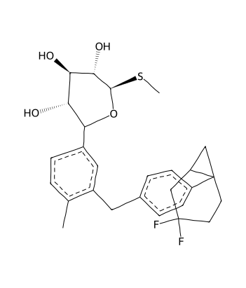 CS[C@H]1OC(c2ccc(C)c(Cc3ccc(C45CCC(F)(F)CC4C5)cc3)c2)[C@H](O)[C@@H](O)[C@@H]1O